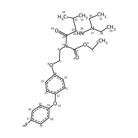 CCOC(=O)N(CCOc1ccc(Oc2ccc(F)cc2)cc1)C(=O)[C@@H](NN(CC)CC)C(C)C